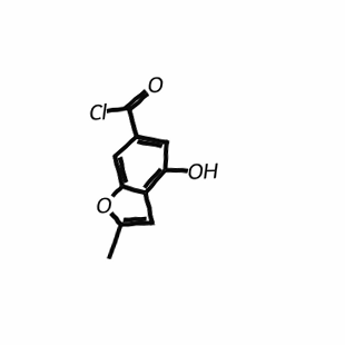 Cc1cc2c(O)cc(C(=O)Cl)cc2o1